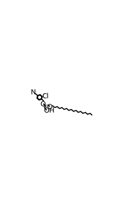 CCCCCCCCCCCCCCCCCCOC[C@H](CO)OCc1ccc(C#N)cc1Cl